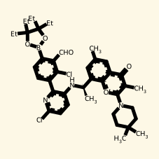 CCC1(CC)OB(c2ccc(-c3nc(Cl)ccc3N[C@H](C)c3cc(C)cc4c(=O)c(C)c(N5CCC(C)(C)CC5)oc34)c(Cl)c2C=O)OC1(CC)CC